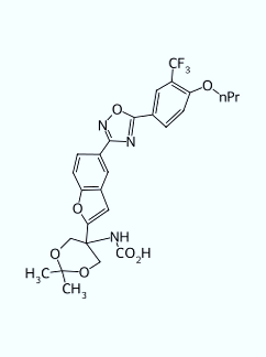 CCCOc1ccc(-c2nc(-c3ccc4oc(C5(NC(=O)O)COC(C)(C)OC5)cc4c3)no2)cc1C(F)(F)F